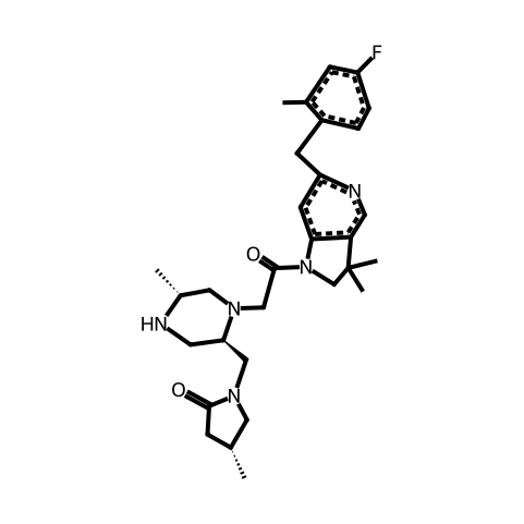 Cc1cc(F)ccc1Cc1cc2c(cn1)C(C)(C)CN2C(=O)CN1C[C@@H](C)NC[C@@H]1CN1C[C@H](C)CC1=O